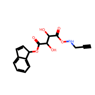 C#CCNOC(=O)C(O)C(O)C(=O)OC1C=Cc2ccccc21